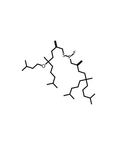 C=C(CCC(C)(CCCC(C)C)OCCC(C)C)CSP(F)CC(=C)CCC(C)(CCCC(C)C)CCCC(C)C